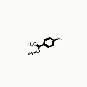 C=C(OC(C)C)c1ccc(CC)cc1